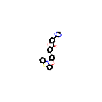 O=c1c2cc(-c3ccc4c(c3)N3c5ccccc5Sc5cccc(c53)O4)ccc2oc2ccc(-c3cnccn3)cc12